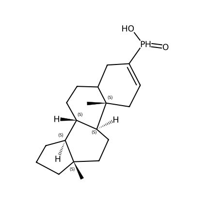 C[C@@]12CCC[C@H]1[C@@H]1CCC3CC([PH](=O)O)=CC[C@]3(C)[C@H]1CC2